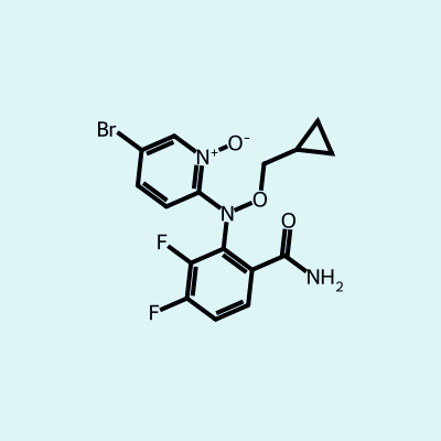 NC(=O)c1ccc(F)c(F)c1N(OCC1CC1)c1ccc(Br)c[n+]1[O-]